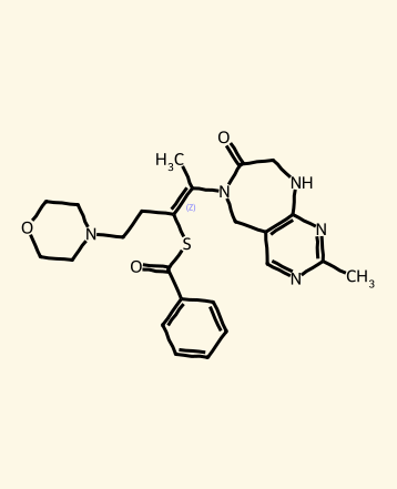 C/C(=C(\CCN1CCOCC1)SC(=O)c1ccccc1)N1Cc2cnc(C)nc2NCC1=O